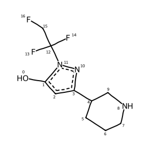 Oc1cc(C2CCCNC2)nn1C(F)(F)CF